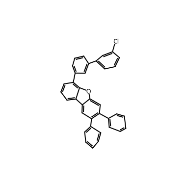 Clc1cccc(-c2cccc(-c3cccc4c3oc3cc(-c5ccccc5)c(-c5ccccc5)cc34)c2)c1